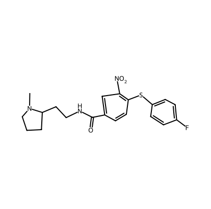 CN1CCCC1CCNC(=O)c1ccc(Sc2ccc(F)cc2)c([N+](=O)[O-])c1